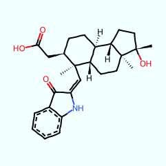 C[C@]1(/C=C2/Nc3ccccc3C2=O)[C@@H](CC(=O)O)CC[C@@H]2[C@@H]1CC[C@@]1(C)[C@H]2CC[C@]1(C)O